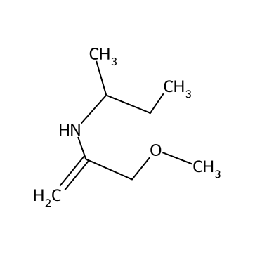 C=C(COC)NC(C)CC